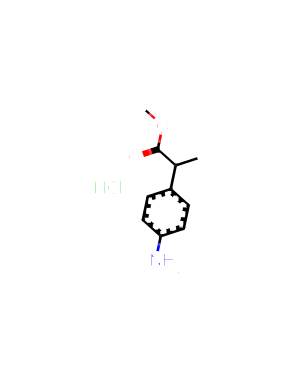 COC(=O)C(C)c1ccc(N)cc1.Cl